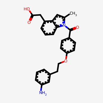 Cc1cc2c(CC(=O)O)cccc2n1C(=O)c1ccc(OCCc2cccc(N)c2)cc1